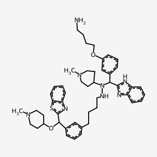 CN1CCC(OC(c2cccc(CCCCNN(C3CCN(C)CC3)C(c3cccc(OCCCCN)c3)c3nc4ccccc4[nH]3)c2)c2nc3ccccc3s2)CC1